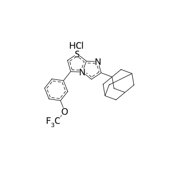 Cl.FC(F)(F)Oc1cccc(-c2csc3nc(C45CC6CC(CC(C6)C4)C5)cn23)c1